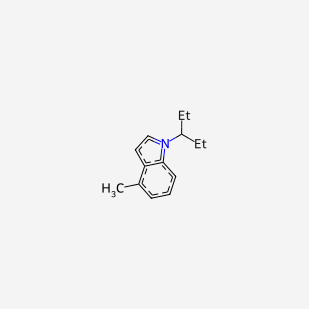 CCC(CC)n1ccc2c(C)cccc21